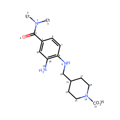 CCN(CC)C(=O)c1ccc(NCC2CCN(C(=O)O)CC2)c(N)c1